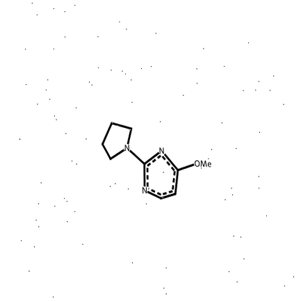 COc1ccnc(N2CCCC2)n1